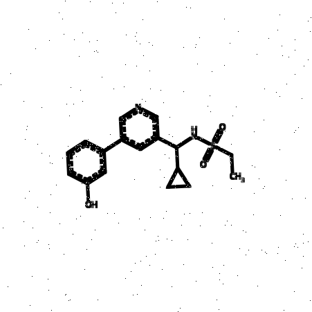 CCS(=O)(=O)NC(c1cncc(-c2cccc(O)c2)c1)C1CC1